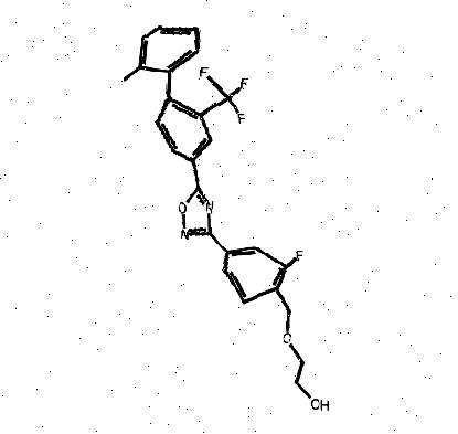 Cc1ccccc1-c1ccc(-c2nc(-c3ccc(COCCO)c(F)c3)no2)cc1C(F)(F)F